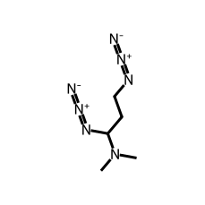 CN(C)C(CCN=[N+]=[N-])N=[N+]=[N-]